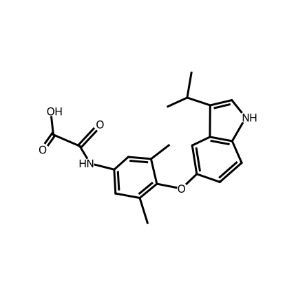 Cc1cc(NC(=O)C(=O)O)cc(C)c1Oc1ccc2[nH]cc(C(C)C)c2c1